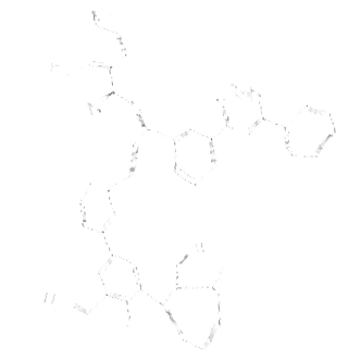 C=C/C=C\C(=C)C(=N)/N=C(\C=C\C/C=C(\C=C/C)c1cc(C=C)c(C)c(C2=CC=CC(C)C2C=C)c1)c1cccc(-c2cc(-c3ccccc3)ncn2)c1